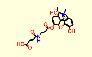 CN1CCC23c4c5ccc(O)c4OC2C(OC(=O)CCNC(=O)/C=C/C(=O)O)=CC[C@@]3(O)[C@H]1C5